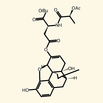 CC(=O)O[C@@H](C)C(=O)N[C@@H](CC(=O)OC1=CC[C@@]2(O)[C@H]3Cc4ccc(O)c5c4[C@@]2(CCC3C)[C@H]1O5)C(=O)OCC(C)C